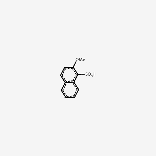 COc1ccc2c[c]ccc2c1S(=O)(=O)O